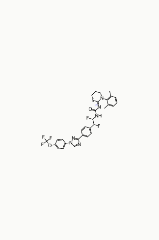 Cc1cccc(C)c1N1CCCS/C1=N\C(=O)NC(F)C(F)c1ccc(-c2ncn(-c3ccc(OC(F)(F)F)cc3)n2)cc1